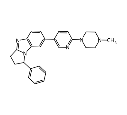 CN1CCN(c2ccc(-c3ccc4nc5n(c4c3)C(c3ccccc3)CC5)cn2)CC1